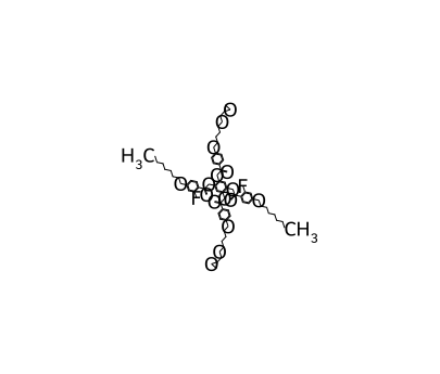 CCCCCCCCOc1ccc(C(=O)Oc2cc(OC(=O)c3ccc(OCCCCOCC4CO4)cc3)c(OC(=O)c3ccc(OCCCCCCCC)cc3F)cc2OC(=O)c2ccc(OCCCCOCC3CO3)cc2)c(F)c1